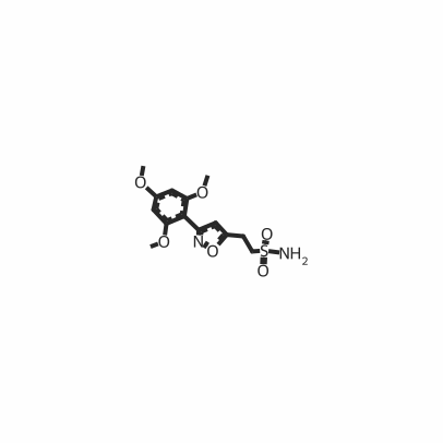 COc1cc(OC)c(-c2cc(CCS(N)(=O)=O)on2)c(OC)c1